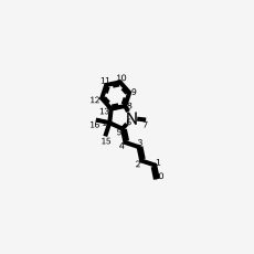 C=CC=CC=C1N(C)c2ccccc2C1(C)C